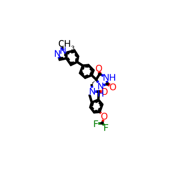 Cn1ncc2cc(-c3ccc([C@]4(CN5Cc6ccc(OC(F)F)cc6C5=O)NC(=O)NC4=O)cc3)ccc21